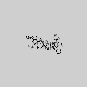 COC1=NC(N)=NC2C1=NCN2[C@@H]1O[C@H](CO[P@@](=O)(N[C@@H](C)C(=O)OC(C)C)Oc2ccccc2)[C@H](O)[C@@]1(C)F